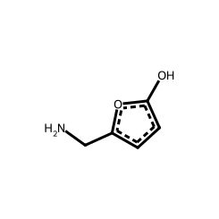 NCc1ccc(O)o1